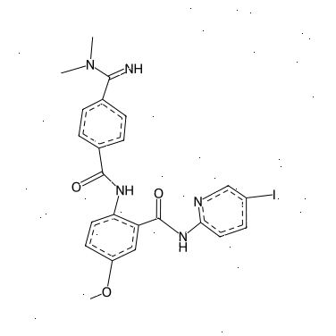 COc1ccc(NC(=O)c2ccc(C(=N)N(C)C)cc2)c(C(=O)Nc2ccc(I)cn2)c1